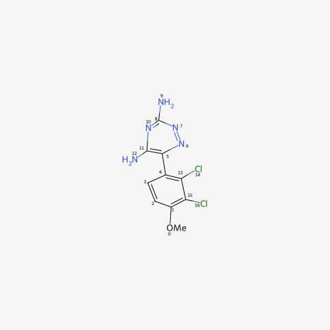 COc1ccc(-c2nnc(N)nc2N)c(Cl)c1Cl